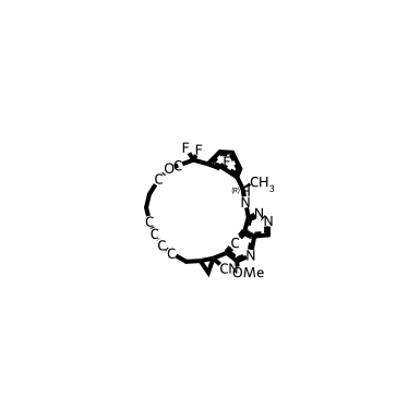 COc1nc2cnnc3c2cc1C1(C#N)CC1CCCCCCCCOCC(F)(F)c1cccc(c1F)[C@@H](C)N3